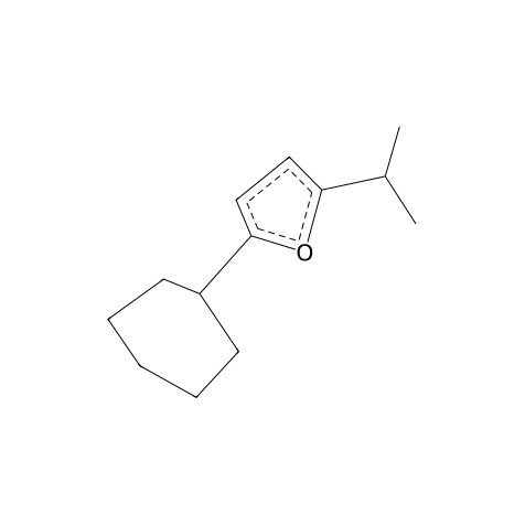 CC(C)c1ccc(C2CCCCC2)o1